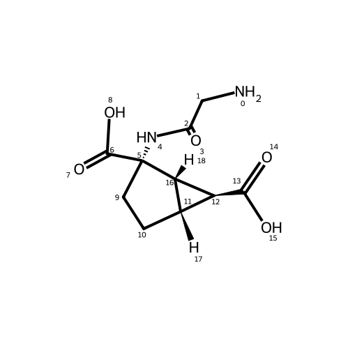 NCC(=O)N[C@@]1(C(=O)O)CC[C@H]2[C@H](C(=O)O)[C@H]21